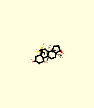 C[C@]12CC[C@@H]3[C@@H](CC=C4CC(O)CC[C@@]43CC(S)S)[C@@H]1CCC2=O